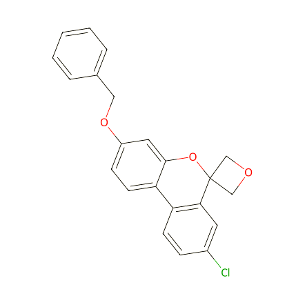 Clc1ccc2c(c1)C1(COC1)Oc1cc(OCc3ccccc3)ccc1-2